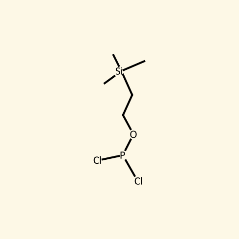 C[Si](C)(C)CCOP(Cl)Cl